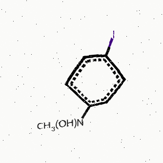 CN(O)c1ccc(I)cc1